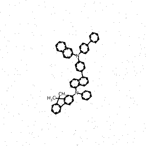 CC1(C)c2ccccc2-c2ccc(N(c3ccccc3)c3cccc4c(-c5ccc(N(c6ccc(-c7ccccc7)cc6)c6ccc7ccccc7c6)cc5)cccc34)cc21